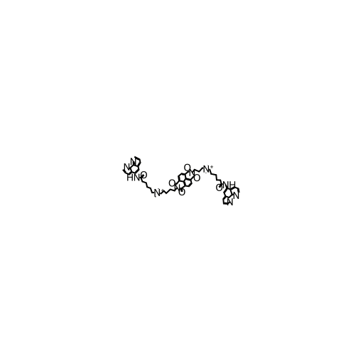 C[N+](C)(CCCCCC(=O)Nc1cc2cccnc2c2ncccc12)CCCCCN1C(=O)c2ccc3c4c(ccc(c24)C1=O)C(=O)N(CCC[N+](C)(C)CCCCCC(=O)Nc1cc2cccnc2c2ncccc12)C3=O